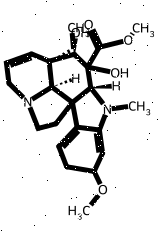 CC[C@]12C=CCN3CCC4(C5=CCC(OC)C=C5N(C)[C@H]4C(O)(C(=O)OC)[C@@H]1O)[C@@H]32